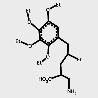 CCOc1cc(CC(CC)CC(CN)C(=O)O)c(OCC)c(OCC)c1OCC